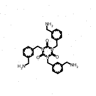 NCc1cccc(Cn2c(=O)n(Cc3cccc(CN)c3)c(=O)n(Cc3cccc(CN)c3)c2=O)c1